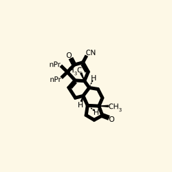 CCCC1(CCC)C(=O)C(C#N)=C[C@@]2(C)C1=CC[C@@H]1[C@@H]2CC[C@]2(C)C(=O)CC[C@@H]12